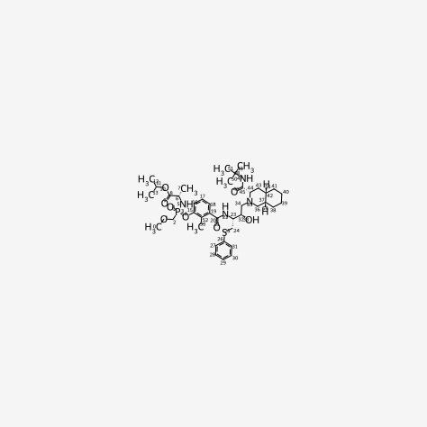 COCP(=O)(N[C@@H](C)C(=O)OC(C)C)Oc1cccc(C(=O)N[C@@H](CSc2ccccc2)[C@H](O)CN2C[C@H]3CCCC[C@H]3C[C@H]2C(=O)NC(C)(C)C)c1C